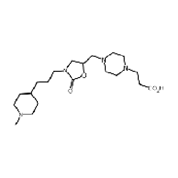 CN1CCC(CCCN2CC(CN3CCN(CCC(=O)O)CC3)OC2=O)CC1